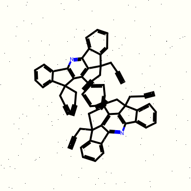 C#CCC1(CC#C)c2ccccc2-c2nc3c(c(-c4ccc(-c5c6c(nc7c5C(CC#C)(CC#C)c5ccccc5-7)-c5ccccc5C6(CC#C)CC#C)cc4)c21)C(CC#C)(CC#C)c1ccccc1-3